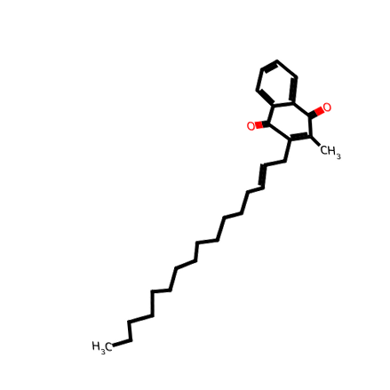 CCCCCCCCCCCCCC=CCC1=C(C)C(=O)c2ccccc2C1=O